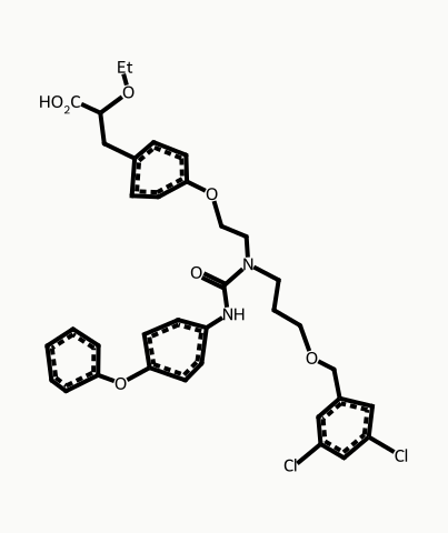 CCOC(Cc1ccc(OCCN(CCCOCc2cc(Cl)cc(Cl)c2)C(=O)Nc2ccc(Oc3ccccc3)cc2)cc1)C(=O)O